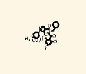 C[C@]1(C(=O)O)CC[C@H](n2ncc(C(=O)N(CC(=O)c3c(Cl)cc(F)cc3Cl)CC3CCCCC3)c2C(F)(F)F)CC1